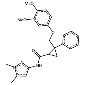 COc1ccc(OCC2(c3ccccc3)CC2C(=O)Nc2cc(C)n(C)n2)cc1OC